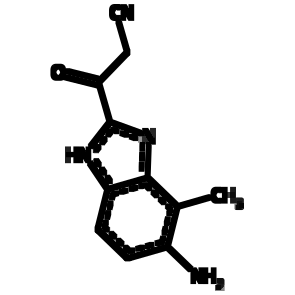 Cc1c(N)ccc2[nH]c(C(=O)CC#N)nc12